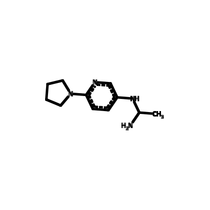 CC(N)Nc1ccc(N2CCCC2)nc1